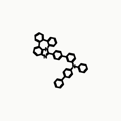 c1ccc(-c2ccc(N(c3ccccc3)c3cccc(-c4ccc(-c5nc6cccc7c6n5-c5ccccc5-c5ccccc5-7)cc4)c3)cc2)cc1